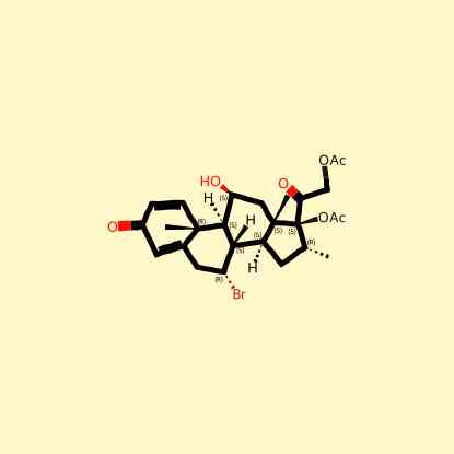 CC(=O)OCC(=O)[C@]1(OC(C)=O)[C@H](C)C[C@H]2[C@H]3[C@H]([C@@H](O)C[C@@]21C)[C@@]1(C)C=CC(=O)C=C1C[C@H]3Br